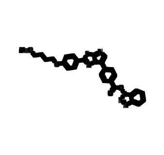 COCCCCOc1ccc(-c2nn3c(-c4ccc(C(=O)On5nnc6ccccc65)cc4)cnc3s2)cc1